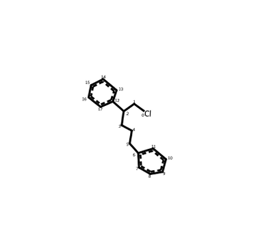 ClCC(CCCc1ccccc1)c1ccccc1